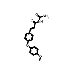 COc1ccc(Oc2ccc(C=CC(=O)NC(N)=O)cc2)cc1